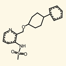 CS(=O)(=O)Nc1cccnc1COC1CCC(c2ccccc2)CC1